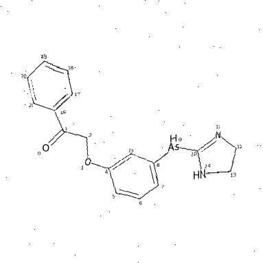 O=C(COc1cccc([AsH]C2=NCCN2)c1)c1cc[c]cc1